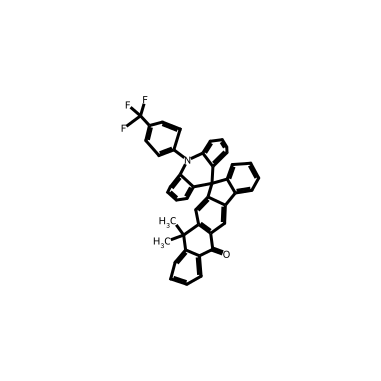 CC1(C)c2ccccc2C(=O)c2cc3c(cc21)C1(c2ccccc2-3)c2ccccc2N(c2ccc(C(F)(F)F)cc2)c2ccccc21